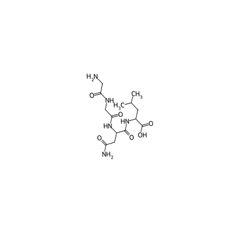 CC(C)CC(NC(=O)C(CC(N)=O)NC(=O)CNC(=O)CN)C(=O)O